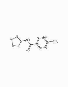 Cc1ccc(C(=O)NC2CCCC2)cn1